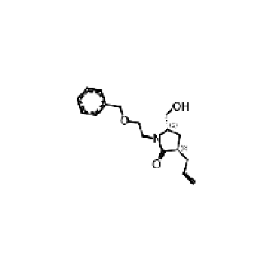 C=CC[C@@H]1C[C@@H](CO)N(CCOCc2ccccc2)C1=O